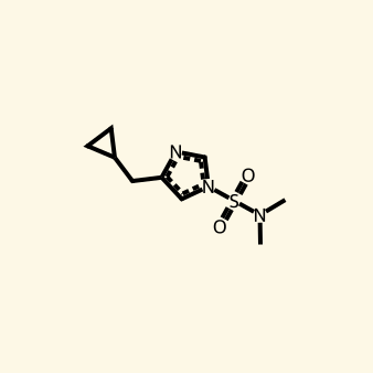 CN(C)S(=O)(=O)n1cnc(CC2CC2)c1